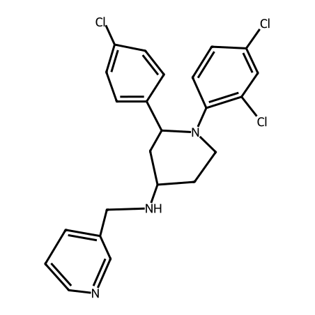 Clc1ccc(C2CC(NCc3cccnc3)CCN2c2ccc(Cl)cc2Cl)cc1